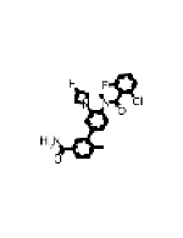 Cc1ccc(C(N)=O)cc1-c1ccc(N(C)C(=O)c2c(F)cccc2Cl)c(N2CC(F)C2)c1